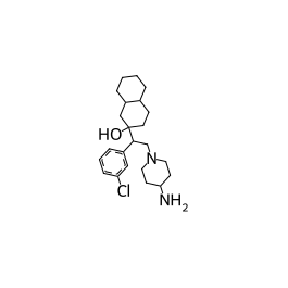 NC1CCN(CC(c2cccc(Cl)c2)C2(O)CCC3CCCCC3C2)CC1